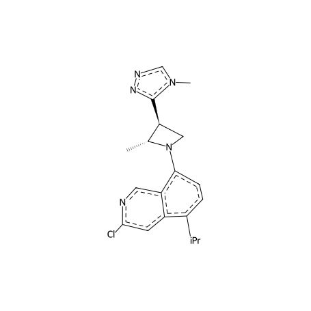 CC(C)c1ccc(N2C[C@H](c3nncn3C)[C@H]2C)c2cnc(Cl)cc12